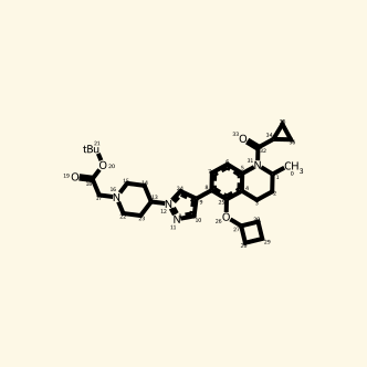 CC1CCc2c(ccc(-c3cnn(C4CCN(CC(=O)OC(C)(C)C)CC4)c3)c2OC2CCC2)N1C(=O)C1CC1